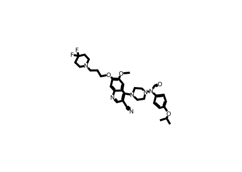 COc1cc2c(N3CCN(N(C=O)c4ccc(OC(C)C)cc4)CC3)c(C#N)cnc2cc1OCCCN1CCC(F)(F)CC1